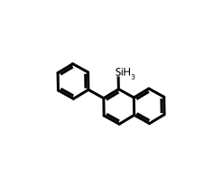 [SiH3]c1c(-c2ccccc2)ccc2ccccc12